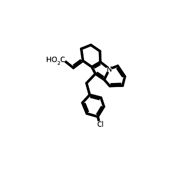 O=C(O)C=C1CCCc2c1c(Cc1ccc(Cl)cc1)c1ccccn21